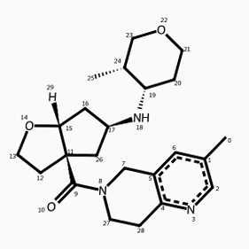 Cc1cnc2c(c1)CN(C(=O)[C@@]13CCO[C@@H]1C[C@@H](N[C@H]1CCOC[C@H]1C)C3)CC2